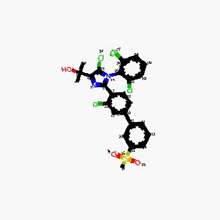 CC(C)(O)c1nc(-c2ccc(-c3cccc(S(C)(=O)=O)c3)cc2Cl)n(-c2c(Cl)cccc2Cl)c1Cl